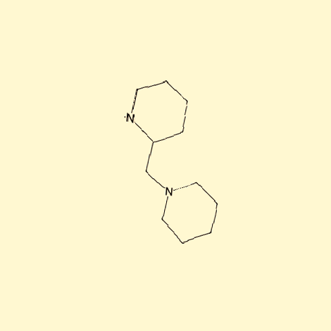 C1CCN(CC2CCCC[N]2)CC1